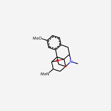 CNC1CCC23OCC1C21CCN(C)C3Cc2ccc(OC)cc21